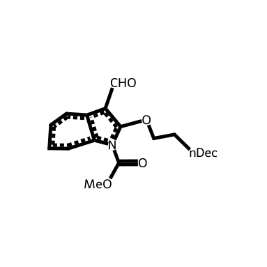 CCCCCCCCCCCCOc1c(C=O)c2ccccc2n1C(=O)OC